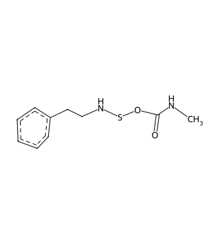 CNC(=O)OSNCCc1ccccc1